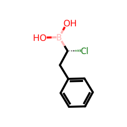 OB(O)[C@H](Cl)Cc1ccccc1